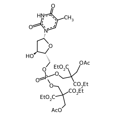 CCOC(=O)C(COC(C)=O)(COP(=O)(OC[C@H]1O[C@@H](n2cc(C)c(=O)[nH]c2=O)C[C@@H]1O)OCC(COC(C)=O)(C(=O)OCC)C(=O)OCC)C(=O)OCC